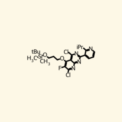 CC(C)c1ncccc1-c1nc(Cl)c2c(OCCCO[Si](C)(C)C(C)(C)C)c(F)c(Cl)nc2n1